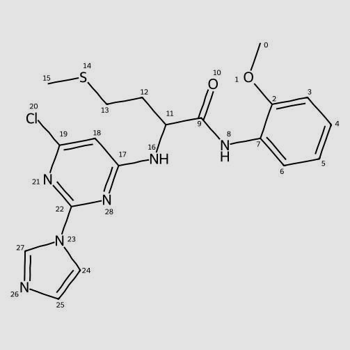 COc1ccccc1NC(=O)C(CCSC)Nc1cc(Cl)nc(-n2ccnc2)n1